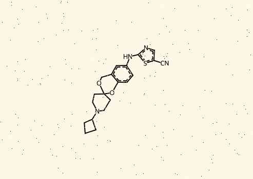 N#Cc1cnc(Nc2ccc3c(c2)COC2(CCN(C4CCC4)CC2)O3)s1